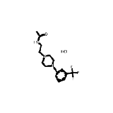 CC(=O)NCCN1CCN(c2cccc(C(F)(F)F)c2)CC1.Cl